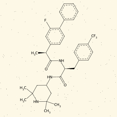 C[C@H](C(=O)N[C@@H](Cc1ccc(C(F)(F)F)cc1)C(=O)NC1CC(C)(C)NC(C)(C)C1)c1ccc(-c2ccccc2)c(F)c1